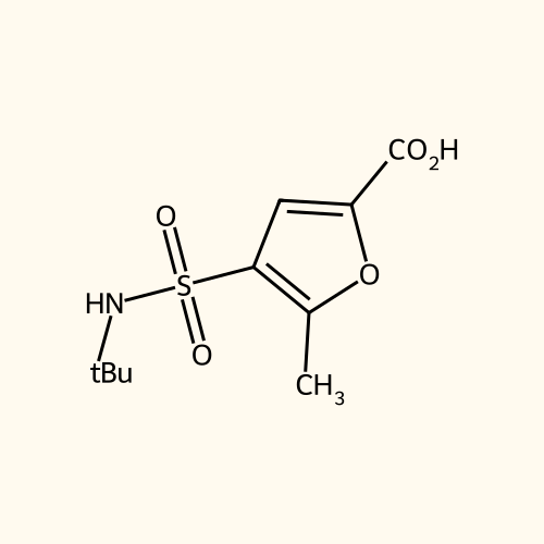 Cc1oc(C(=O)O)cc1S(=O)(=O)NC(C)(C)C